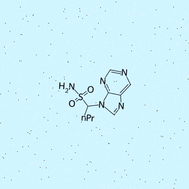 CCCC(n1cnc2cncnc21)S(N)(=O)=O